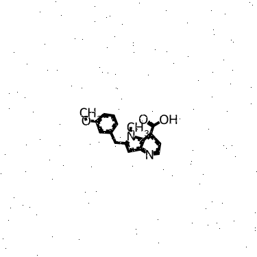 COc1cccc(Cc2cc3nccc(C(=O)O)c3n2C)c1